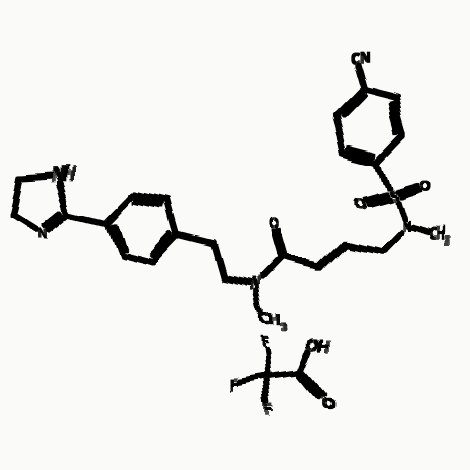 CN(CCc1ccc(C2=NCCN2)cc1)C(=O)CCCN(C)S(=O)(=O)c1ccc(C#N)cc1.O=C(O)C(F)(F)F